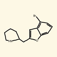 Brc1cccc2oc(CC3CCCCN3)cc12